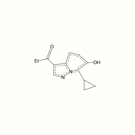 CCC(=O)c1cnn2c(C3CC3)c(O)ccc12